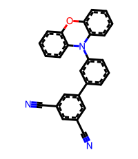 N#Cc1cc(C#N)cc(-c2cccc(N3c4ccccc4Oc4ccccc43)c2)c1